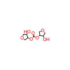 O=C(OC1COCC1O)OC1COCC1O